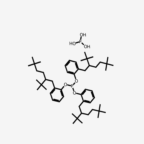 CC(C)(C)CCC(Cc1ccccc1OP(Oc1ccccc1CC(CCC(C)(C)C)C(C)(C)C)Oc1ccccc1CC(CCC(C)(C)C)C(C)(C)C)C(C)(C)C.OP(O)O